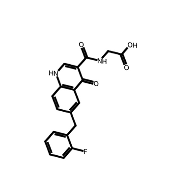 O=C(O)CNC(=O)c1c[nH]c2ccc(Cc3ccccc3F)cc2c1=O